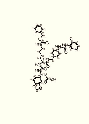 Cc1ccccc1NC(=O)Nc1ccc(CNC(=O)[C@H](CCCCNC(=O)OCc2ccccc2)NC(=O)N[C@@H](CC(=O)O)c2ccc3c(c2)OCO3)cc1